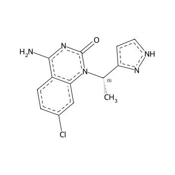 C[C@@H](c1cc[nH]n1)n1c(=O)nc(N)c2ccc(Cl)cc21